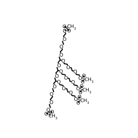 CS(=O)(=O)OCCOCCOCCOCC(COCC(COCC(COCCOCCOCCOS(C)(=O)=O)OCCOCCOCCOS(C)(=O)=O)OCCOCCOCCOS(C)(=O)=O)OCCOCCOCCOS(C)(=O)=O